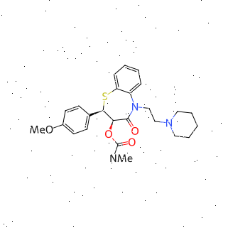 CNC(=O)O[C@@H]1C(=O)N(CCN2CCCCC2)c2ccccc2S[C@@H]1c1ccc(OC)cc1